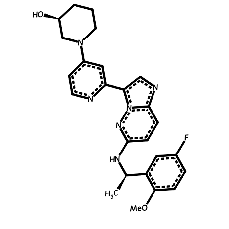 COc1ccc(F)cc1[C@@H](C)Nc1ccc2ncc(-c3cc(N4CCC[C@H](O)C4)ccn3)n2n1